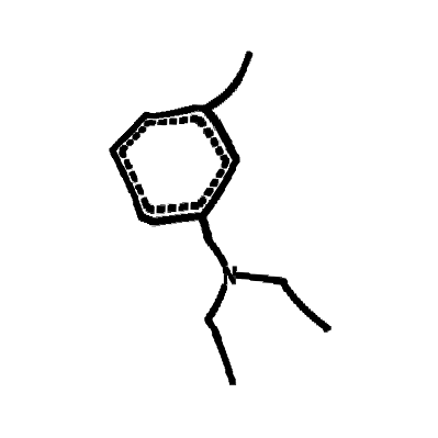 CCN(CC)c1cccc(C)c1